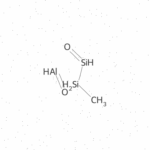 C[SiH2][SiH]=O.[O]=[AlH]